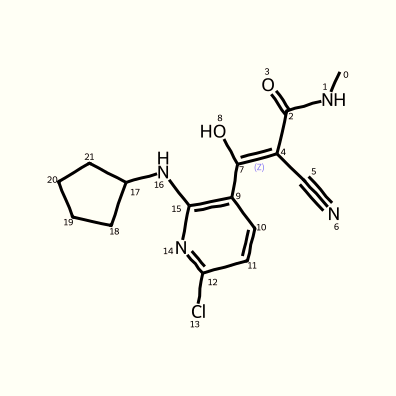 CNC(=O)/C(C#N)=C(\O)c1ccc(Cl)nc1NC1CCCC1